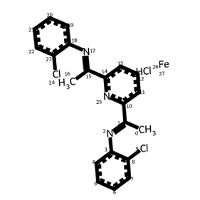 C/C(=N\c1ccccc1Cl)c1cccc(/C(C)=N/c2ccccc2Cl)n1.Cl.[Fe]